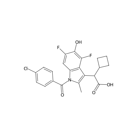 Cc1c(C(C(=O)O)C2CCC2)c2c(F)c(O)c(F)cc2n1C(=O)c1ccc(Cl)cc1